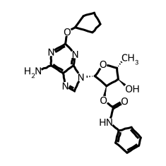 C[C@H]1O[C@@H](n2cnc3c(N)nc(OC4CCCC4)nc32)[C@H](OC(=O)Nc2ccccc2)[C@@H]1O